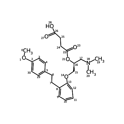 COc1ccc(CCc2ccccc2OC[C@H](CN(C)C)OC(=O)CCC(=O)O)cc1